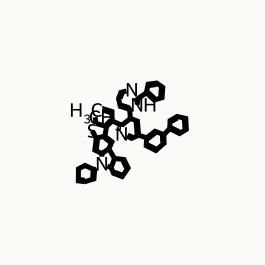 C/C=C\C(=C1\C2=CC3C4C=CC=CC4N(C4=CC=CCC4)C3C=C2SC1C)C1N=CC(c2cccc(-c3ccccc3)c2)=CC1C1=CC=CN=C(c2ccccc2)N1